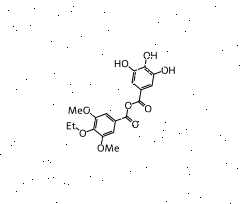 CCOc1c(OC)cc(C(=O)OC(=O)c2cc(O)c(O)c(O)c2)cc1OC